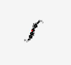 C=CCCOc1ccc(COc2ccc(-c3ccc(-c4ccc(OCC)cc4)c(F)c3F)cc2)c(F)c1F